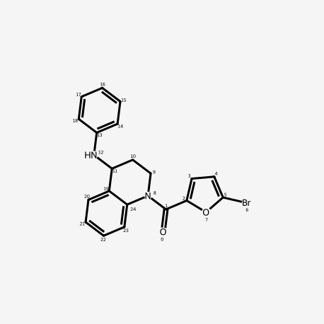 O=C(c1ccc(Br)o1)N1CCC(Nc2ccccc2)c2ccccc21